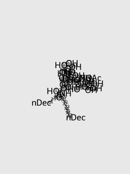 CCCCCCCCCCCCC/C=C/[C@@H](O)[C@H](CO[C@@H]1OC(CO)[C@@H](O[C@@H]2OC(CO[C@@H]3OC(CO)[C@@H](O[C@@H]4OC(CO)[C@H](O)[C@H](O)C4O)[C@H](O)C3NC(C)=O)[C@H](O)[C@H](O[C@H]3OC(CO)[C@H](O)[C@H](O)C3O)C2O)[C@H](O)C1O)NC(=O)CCCCCCCCCCCCCCCCCCC